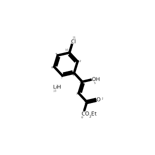 CCOC(=O)C(=O)C=C(O)c1cccc(Cl)c1.[LiH]